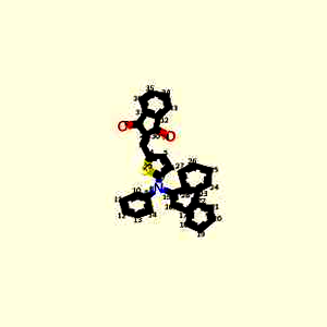 O=C1C(=Cc2ccc(N(c3ccccc3)c3cc4ccccc4c4ccccc34)s2)C(=O)c2ccccc21